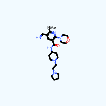 CNc1nc(N2CCOCC2)c(C(=O)NC2CCN(CCN3CCCC3)CC2)cc1C=N